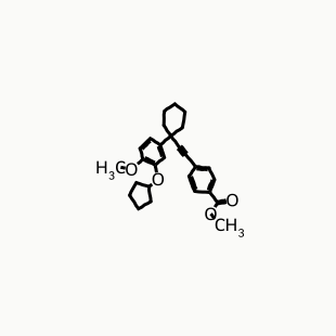 COC(=O)c1ccc(C#CC2(c3ccc(OC)c(OC4CCCC4)c3)CCCCC2)cc1